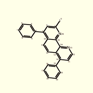 Ic1cc(-c2ccccc2)c2ccc3c(-c4ccccc4)ccnc3c2n1